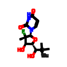 CC(C)(C)[Si](C)(C)C(O)[C@H]1O[C@@H](n2ccc(=O)[nH]c2=O)[C@@](C)(F)[C@@H]1O